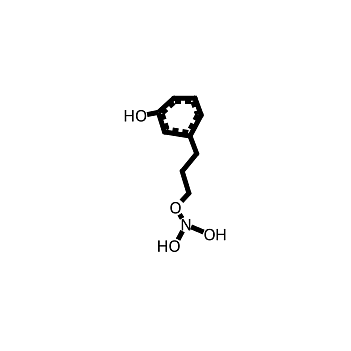 Oc1cccc(CCCON(O)O)c1